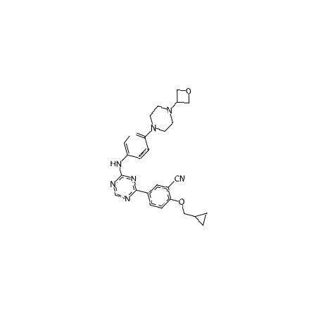 C=C(/C=C\C(=C/C)Nc1ncnc(-c2ccc(OCC3CC3)c(C#N)c2)n1)N1CCN(C2COC2)CC1